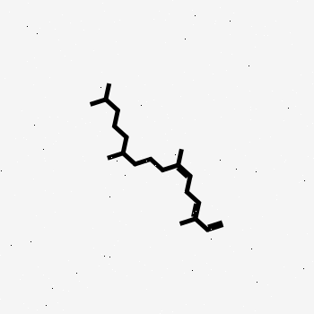 C=CC(C)=CCC=C(C)CCCC(C)CCCC(C)C